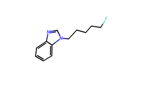 FCCCCCn1cnc2ccccc21